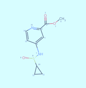 COC(=O)c1cc(N[S+]([O-])C2CC2)ccn1